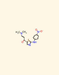 CN(C)C=CC(=O)c1cnc(Nc2ccc([N+](=O)[O-])cc2)s1